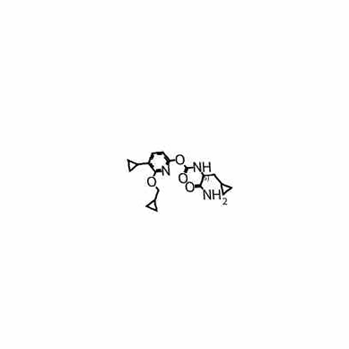 NC(=O)[C@H](CC1CC1)NC(=O)Oc1ccc(C2CC2)c(OCC2CC2)n1